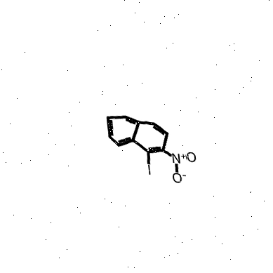 O=[N+]([O-])c1ccc2ccccc2c1I